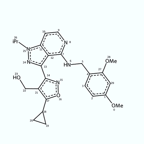 COc1ccc(CNc2nccc3c2c(-c2noc(C4CC4)c2CO)nn3C(C)C)c(OC)c1